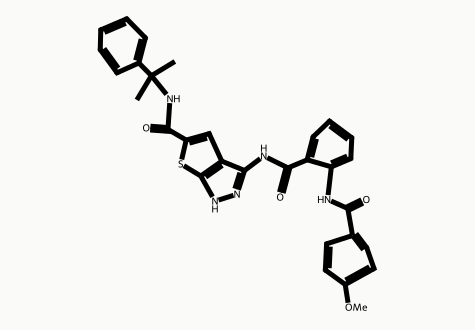 COc1ccc(C(=O)Nc2ccccc2C(=O)Nc2n[nH]c3sc(C(=O)NC(C)(C)c4ccccc4)cc23)cc1